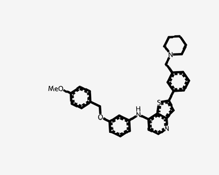 COc1ccc(COc2cccc(Nc3ccnc4cc(-c5cccc(CN6CCCCC6)c5)sc34)c2)cc1